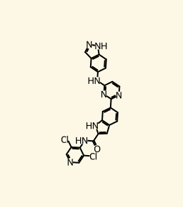 O=C(Nc1c(Cl)cncc1Cl)c1cc2ccc(-c3nccc(Nc4ccc5[nH]ncc5c4)n3)cc2[nH]1